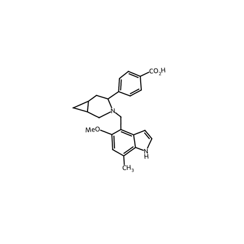 COc1cc(C)c2[nH]ccc2c1CN1CC2CC2CC1c1ccc(C(=O)O)cc1